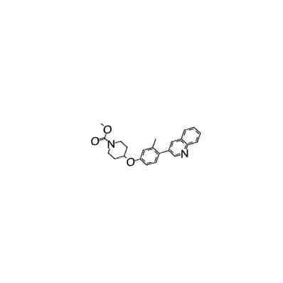 COC(=O)N1CCC(Oc2ccc(-c3cnc4ccccc4c3)c(C)c2)CC1